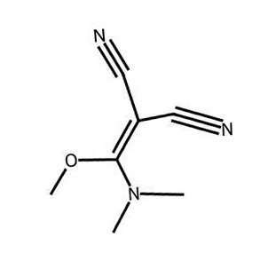 COC(=C(C#N)C#N)N(C)C